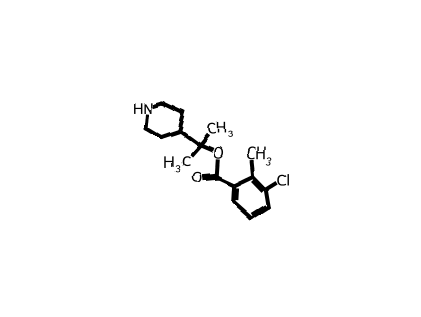 Cc1c(Cl)cccc1C(=O)OC(C)(C)C1CCNCC1